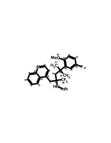 CCCNC(Cc1ccnc2ccccc12)(CC(C)(C)c1cc(F)ccc1OC)C(F)(F)F